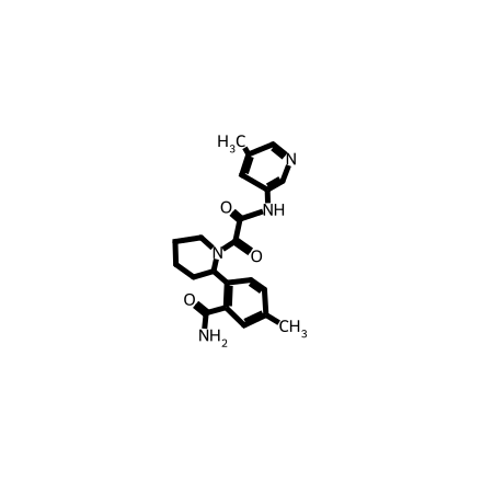 Cc1cncc(NC(=O)C(=O)N2CCCCC2c2ccc(C)cc2C(N)=O)c1